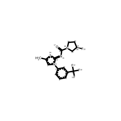 Cc1cn(-c2cccc(C(F)(F)F)c2)c(=NC(=O)N2CC[C@@H](F)C2)s1